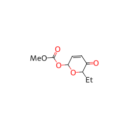 CCC1OC(OC(=O)OC)C=CC1=O